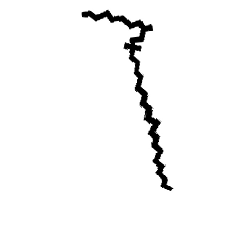 C=C(CCCCCCCC)CCC(C)(C)CCCCCCCCCCCCCCCCCCCC